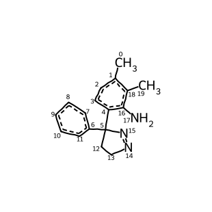 Cc1ccc(C2(c3ccccc3)CCN=N2)c(N)c1C